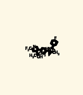 CC1CC1(NC(=O)c1ccc(F)cc1)c1ccc(-c2cnc(C(F)(F)F)cc2C(C)(C)O)nc1